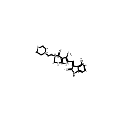 Cc1c(/C=C2\C(=O)Nc3cccc(Br)c32)[nH]c2c1C(=O)N(CCN1CCOCC1)CC2